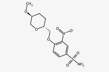 CO[C@H]1CC[C@H](COc2ccc(S(N)(=O)=O)cc2[N+](=O)[O-])OC1